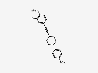 CCCCCCCCCCc1ccc([C@H]2CC[C@H](C#Cc3ccc(CCCCC)c(F)c3)CC2)cc1